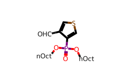 CCCCCCCCOP(=O)(OCCCCCCCC)c1cscc1C=O